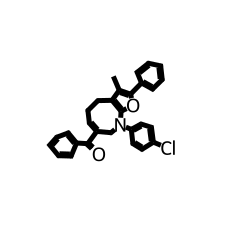 Cc1c(-c2ccccc2)oc2c1CCC=C(C(=O)c1ccccc1)CN2c1ccc(Cl)cc1